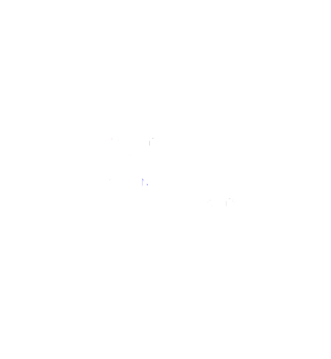 CC(C)SCCC(=O)N1C(C(=O)C(C)C)C(C)(C)C(C)(C)C1(C)C